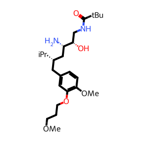 COCCCOc1cc(C[C@@H](C[C@H](N)[C@@H](O)CNC(=O)C(C)(C)C)C(C)C)ccc1OC